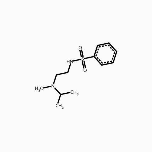 CC(C)N(C)CCNS(=O)(=O)c1ccccc1